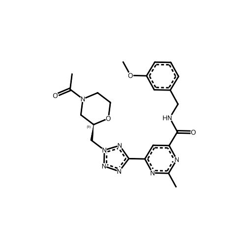 COc1cccc(CNC(=O)c2cc(-c3nnn(C[C@H]4CN(C(C)=O)CCO4)n3)nc(C)n2)c1